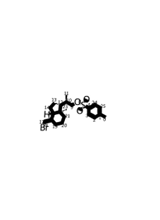 Cc1ccc(S(=O)(=O)OC[C@H](C)[C@H]2CC[C@H]3/C(=C/Br)CCC[C@]23C)cc1